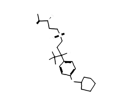 N=S(=O)(CC[C@H](N)C(=O)O)CCC(O)(c1ccc(OC2CCCCC2)cc1)C(F)(F)F